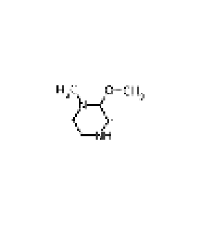 COC1[CH]NCCN1C